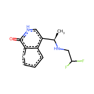 C[C@@H](NCC(F)F)c1c[nH]c(=O)c2ccccc12